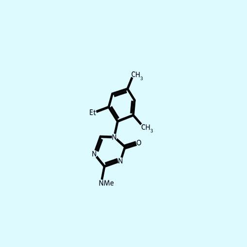 CCc1cc(C)cc(C)c1-n1cnc(NC)nc1=O